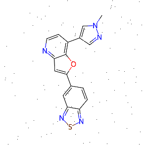 Cn1cc(-c2ccnc3cc(-c4ccc5nsnc5c4)oc23)cn1